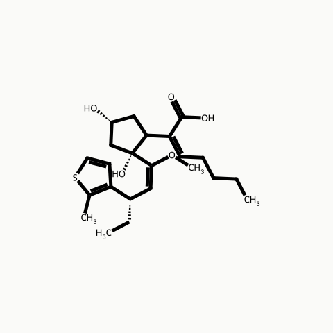 CCCCC=C(C(=O)O)C1C[C@@H](O)C[C@]1(O)/C(=C\[C@H](CC)c1ccsc1C)OC